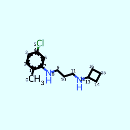 Cc1ccc(Cl)cc1NCCCNC1CCC1